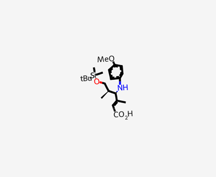 COc1ccc(N[C@H](/C(C)=C/C(=O)O)[C@@H](C)CO[Si](C)(C)C(C)(C)C)cc1